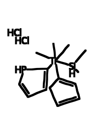 C[SiH](C)[Ti]([CH3])([CH3])([CH3])([C]1=CC=CC1)[c]1ccc[pH]1.Cl.Cl